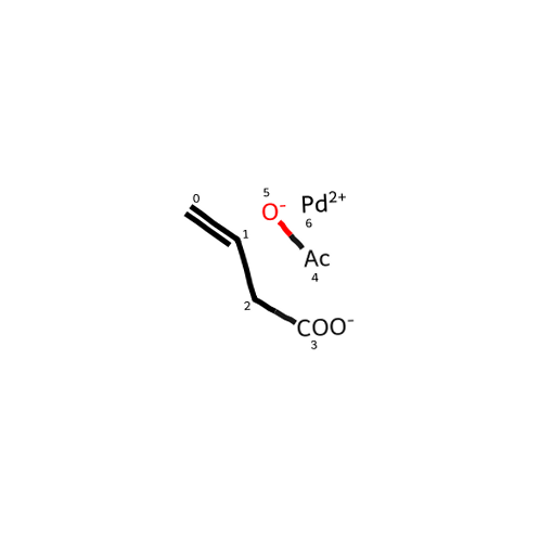 C=CCC(=O)[O-].CC(=O)[O-].[Pd+2]